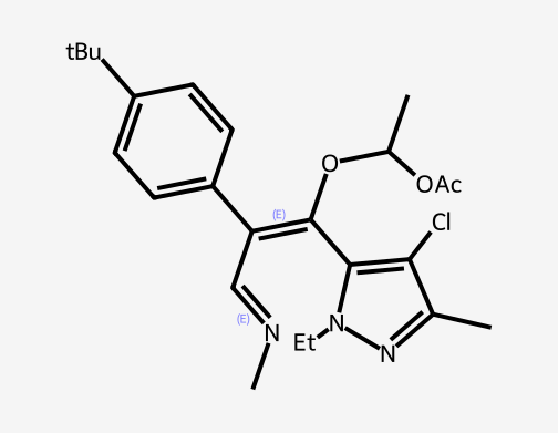 CCn1nc(C)c(Cl)c1/C(OC(C)OC(C)=O)=C(\C=N\C)c1ccc(C(C)(C)C)cc1